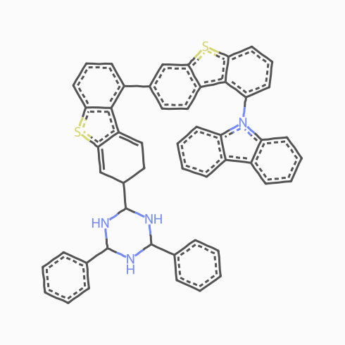 C1=c2sc3cccc(-c4ccc5c(c4)sc4cccc(-n6c7ccccc7c7ccccc76)c45)c3c2=CCC1C1NC(c2ccccc2)NC(c2ccccc2)N1